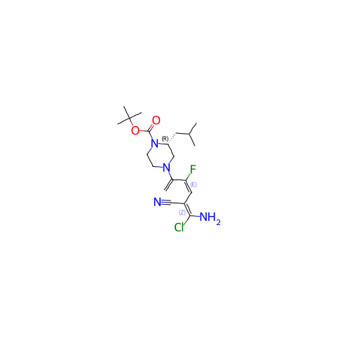 C=C(/C(F)=C\C(C#N)=C(/N)Cl)N1CCN(C(=O)OC(C)(C)C)[C@H](CC(C)C)C1